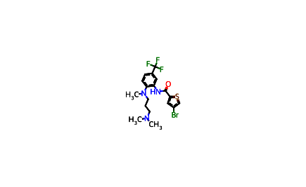 CN(C)CCCN(C)c1ccc(C(F)(F)F)cc1NC(=O)c1cc(Br)cs1